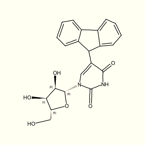 O=c1[nH]c(=O)n([C@@H]2O[C@H](CO)[C@@H](O)[C@H]2O)cc1C1c2ccccc2-c2ccccc21